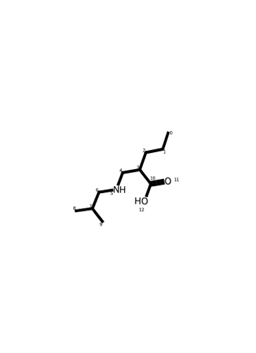 CCCC(CNCC(C)C)C(=O)O